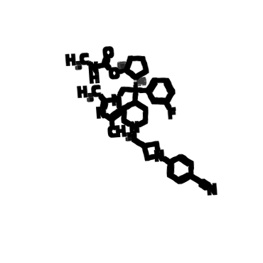 CNC(=O)O[C@H]1CCC[C@@H]1C(Cn1cc(C)nc1C)(c1cccc(F)c1)C1CCN(CC2CN(c3ccc(C#N)cc3)C2)CC1